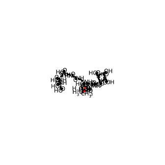 CC(C)(C)[SH](=O)(c1ccc(C(=O)NC[C@@H](NC(=O)CC[C@@H](C(=O)O)N2CCN(CC(=O)O)CCN(CC(=O)O)CCN(CC(=O)O)CC2)C(=O)NCC(=O)N[C@@H](CCCCNC(=O)CCC(=O)NCCC[C@@H](NC(=O)CC[C@H](NC(=O)N[C@@H](CCC(=O)O)C(=O)O)C(=O)O)C(=O)O)C(=O)O)cc1)C(C)(C)C